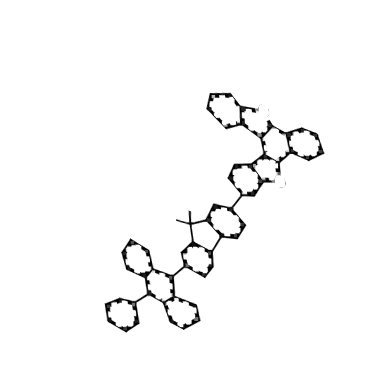 CC1(C)c2cc(-c3ccc4c(c3)oc3c5ccccc5c5oc6ccccc6c5c43)ccc2-c2ccc(-c3c4ccccc4c(-c4ccccc4)c4ccccc34)cc21